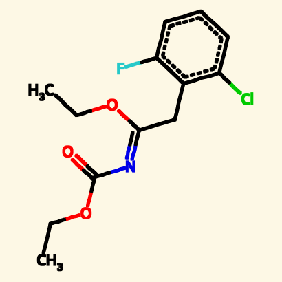 CCOC(=O)N=C(Cc1c(F)cccc1Cl)OCC